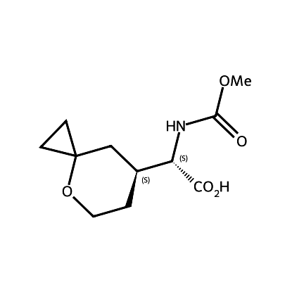 COC(=O)N[C@H](C(=O)O)[C@H]1CCOC2(CC2)C1